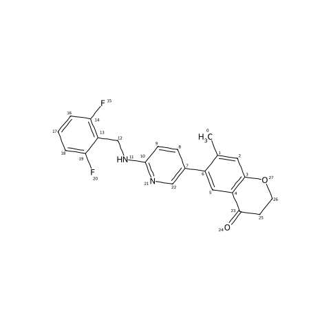 Cc1cc2c(cc1-c1ccc(NCc3c(F)cccc3F)nc1)C(=O)CCO2